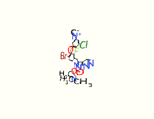 [C-]#[N+]c1cc(Cl)cc(Oc2c(Br)ccc(Cc3nn(C(=O)OC(C)CN(C)C)c4nnccc34)c2F)c1